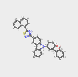 c1ccc2c(-c3nc(-c4ccc5c(c4)c4ccccc4n5-c4ccc5oc6ccccc6c5c4)ns3)cccc2c1